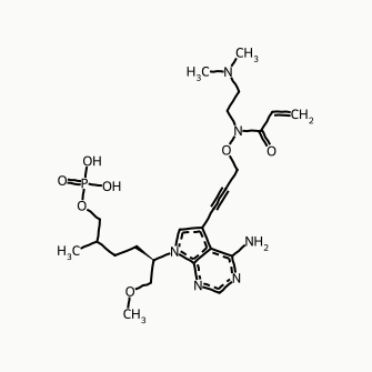 C=CC(=O)N(CCN(C)C)OCC#Cc1cn([C@H](CCC(C)COP(=O)(O)O)COC)c2ncnc(N)c12